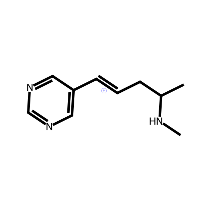 CNC(C)C/C=C/c1cncnc1